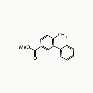 COC(=O)c1ccc(C)c(-c2ccccc2)c1